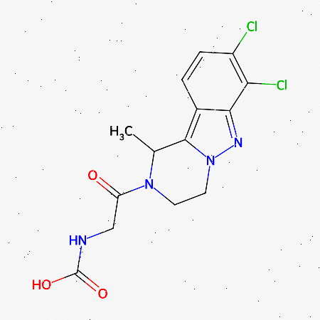 CC1c2c3ccc(Cl)c(Cl)c3nn2CCN1C(=O)CNC(=O)O